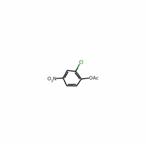 CC(=O)Oc1ccc([N+](=O)[O-])cc1Cl